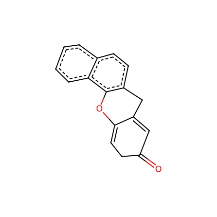 O=C1C=C2Cc3ccc4ccccc4c3OC2=CC1